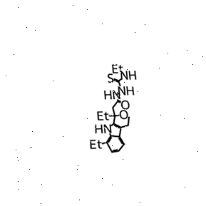 CCNC(=S)NNC(=O)CC1(CC)OCCc2c1[nH]c1c(CC)cccc21